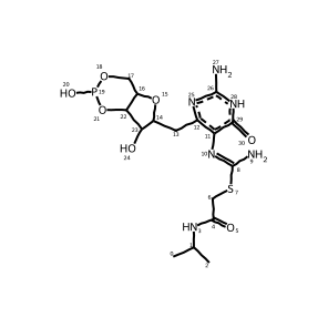 CC(C)NC(=O)CS/C(N)=N/c1c(CC2OC3COP(O)OC3C2O)nc(N)[nH]c1=O